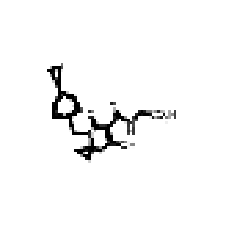 O=C(O)CNC(=O)C1=C(O)CC2(CC2)N(Cc2ccc(C3CC3)cc2)C1=O